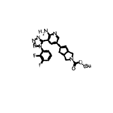 CC(C)(C)OC(=O)N1CC2C=C(c3cnc(N)c(-c4nnnn4-c4cccc(F)c4F)c3)CC2C1